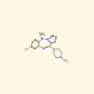 CN1CCN(C2=Nc3cc(F)ccc3N(C)n3cccc32)CC1